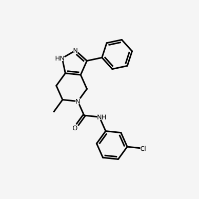 CC1Cc2[nH]nc(-c3ccccc3)c2CN1C(=O)Nc1cccc(Cl)c1